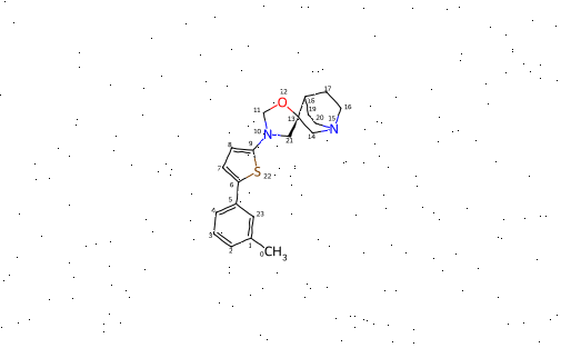 Cc1cccc(-c2ccc(N3CO[C@]4(CN5CCC4CC5)C3)s2)c1